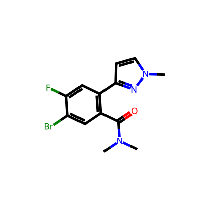 CN(C)C(=O)c1cc(Br)c(F)cc1-c1ccn(C)n1